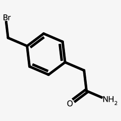 NC(=O)Cc1ccc(CBr)cc1